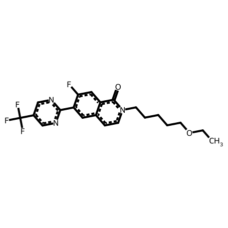 CCOCCCCCn1ccc2cc(-c3ncc(C(F)(F)F)cn3)c(F)cc2c1=O